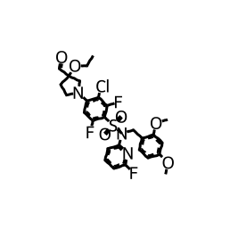 CCOC1(C=O)CCN(c2cc(F)c(S(=O)(=O)N(Cc3ccc(OC)cc3OC)c3cccc(F)n3)c(F)c2Cl)C1